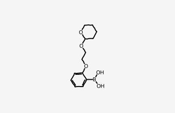 OB(O)c1ccccc1OCCOC1CCCCO1